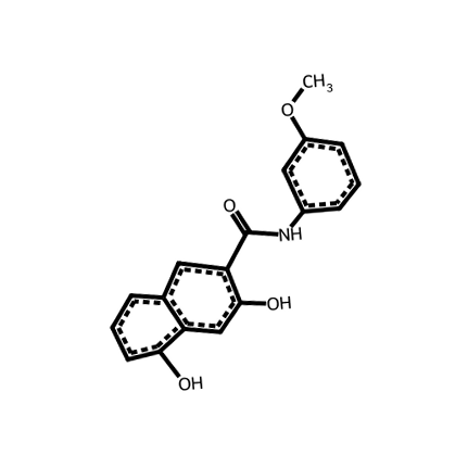 COc1cccc(NC(=O)c2cc3cccc(O)c3cc2O)c1